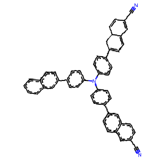 N#CC1=CC2=CC=C(c3ccc(N(c4ccc(-c5ccc6ccccc6c5)cc4)c4ccc(-c5ccc6cc(C#N)ccc6c5)cc4)cc3)CC2C=C1